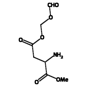 COC(=O)C(N)CC(=O)OCOC=O